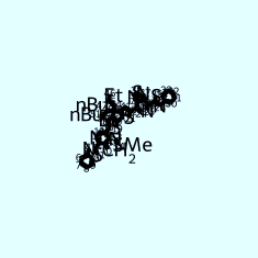 C=C1C(c2nc3ccccc3s2)=NC=C(c2cc3c(s2)-c2sc(-c4cnc(-c5nc6ccccc6s5)c5nsnc45)cc2C3(CC(CC)CCCC)CC(CC)CCCC)/C1=N/SC